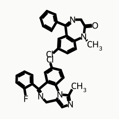 CN1C(=O)CN=C(c2ccccc2)c2cc(Cl)ccc21.Cc1ncc2n1-c1ccc(Cl)cc1C(c1ccccc1F)=NC2